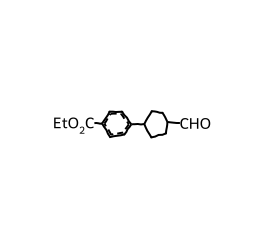 CCOC(=O)c1ccc(C2CCC(C=O)CC2)cc1